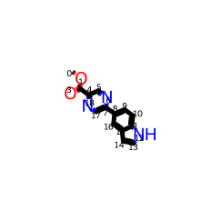 COC(=O)c1cnc(-c2ccc3[nH]ccc3c2)cn1